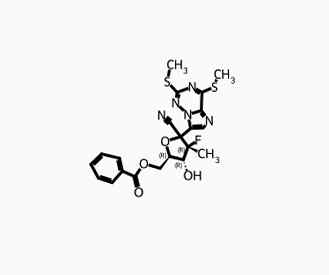 CSc1nc(SC)c2ncc(C3(C#N)O[C@H](COC(=O)c4ccccc4)[C@@H](O)[C@@]3(C)F)n2n1